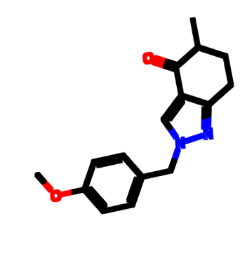 COc1ccc(Cn2cc3c(n2)CCC(C)C3=O)cc1